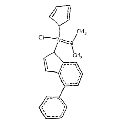 C[Si](C)=[Zr]([Cl])([CH]1C=CC=C1)[CH]1C=Cc2c(-c3ccccc3)cccc21